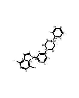 Cc1ccc(F)c2ccn(-c3cccc(N4CCN(c5ccccc5)CC4)c3)c12